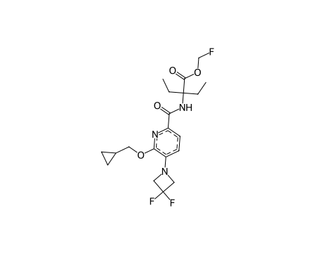 CCC(CC)(NC(=O)c1ccc(N2CC(F)(F)C2)c(OCC2CC2)n1)C(=O)OCF